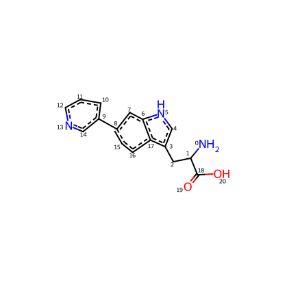 NC(Cc1c[nH]c2cc(-c3cccnc3)ccc12)C(=O)O